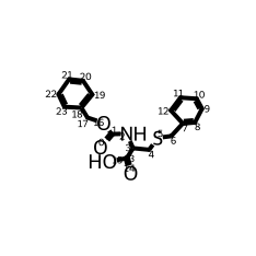 O=C(NC(CSCc1ccccc1)C(=O)O)OCc1ccccc1